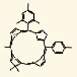 Cc1ccc(-c2c3nc(c(-c4c(C)cc(C)cc4C)c4ccc([nH]4)c(I)c4nc(cc5ccc2[nH]5)C(C)(C)C=4)=CC3)cc1